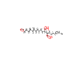 CCCCCC(O)C(O)CCCCCCCCCCC=O